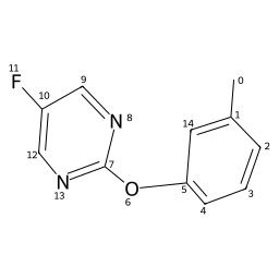 Cc1cccc(Oc2ncc(F)cn2)c1